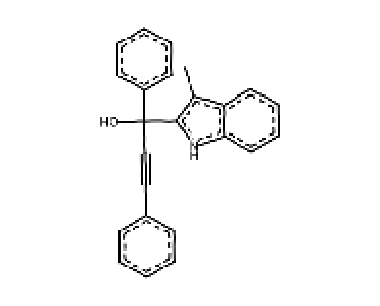 Cc1c(C(O)(C#Cc2ccccc2)c2ccccc2)[nH]c2ccccc12